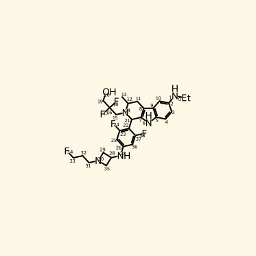 CCNc1ccc2[nH]c3c(c2c1)CC(C)N(CC(F)(F)CO)C3c1c(F)cc(NC2CN(CCCF)C2)cc1F